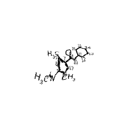 C/C=N/c1cc(C)c(C(=O)CC2CCCCC2)cc1C